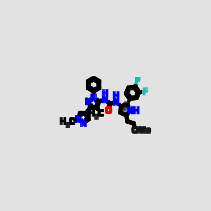 COCCC1C[C@@H](NC(=O)Nc2c(C)c(-c3cnn(C)c3)nn2-c2ccccc2)[C@H](c2ccc(F)c(F)c2)N1